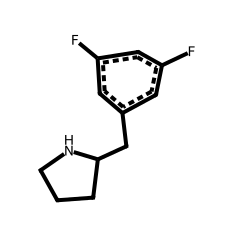 Fc1cc(F)cc(CC2CCCN2)c1